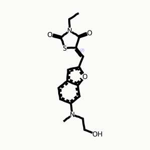 CCN1C(=O)S/C(=C\c2cc3ccc(N(C)CCO)cc3o2)C1=O